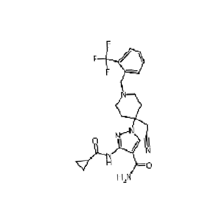 N#CCC1(n2cc(C(N)=O)c(NC(=O)C3CC3)n2)CCN(Cc2ccccc2C(F)(F)F)CC1